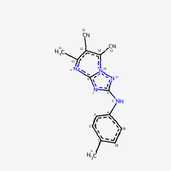 Cc1ccc(Nc2nc3nc(C)c(C#N)c(C#N)n3n2)cc1